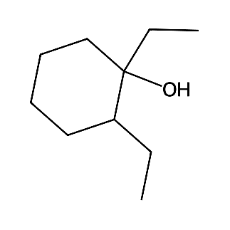 CCC1CCCCC1(O)CC